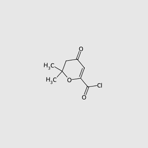 CC1(C)CC(=O)C=C(C(=O)Cl)O1